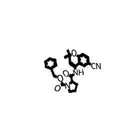 CC1(C)C=C(NC(=O)C2CCCN2C(=O)OCc2ccccc2)c2cc(C#N)ccc2O1